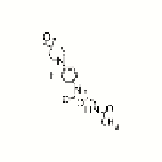 CC(=O)NCC1CN(c2ccc(N3CCC4(CC3)COC4)c(F)c2)C(=O)O1